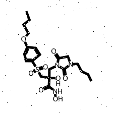 CCCCOc1ccc(S(=O)(=O)CC(O)(CN2C(=O)CN(CCCC)C2=O)C(=O)NO)cc1